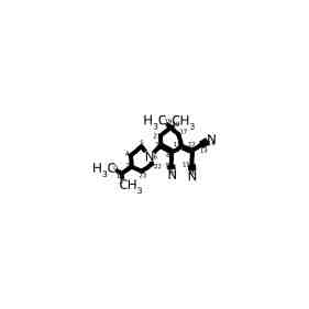 CC(C)C1CCN(C2=C(C#N)C(=C(C#N)C#N)CC(C)(C)C2)CC1